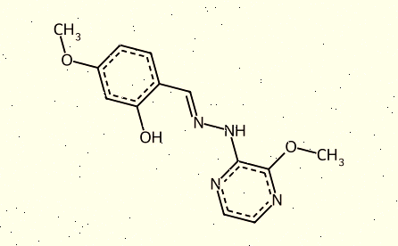 COc1ccc(C=NNc2nccnc2OC)c(O)c1